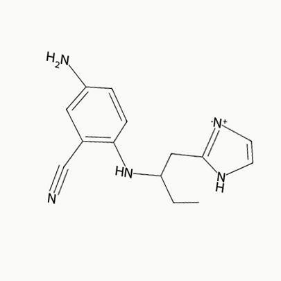 CCC(CC1=[N+]C=CN1)Nc1ccc(N)cc1C#N